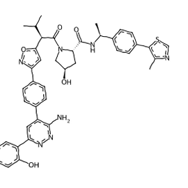 Cc1ncsc1-c1ccc([C@H](C)NC(=O)[C@@H]2C[C@@H](O)CN2C(=O)[C@@H](c2cc(-c3ccc(-c4cc(-c5ccccc5O)nnc4N)cc3)no2)C(C)C)cc1